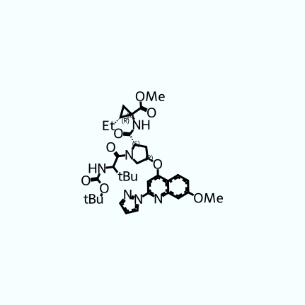 CC[C@@H]1C[C@]1(NC(=O)[C@@H]1C[C@@H](Oc2cc(-n3cccn3)nc3cc(OC)ccc23)CN1C(=O)C(NC(=O)OC(C)(C)C)C(C)(C)C)C(=O)OC